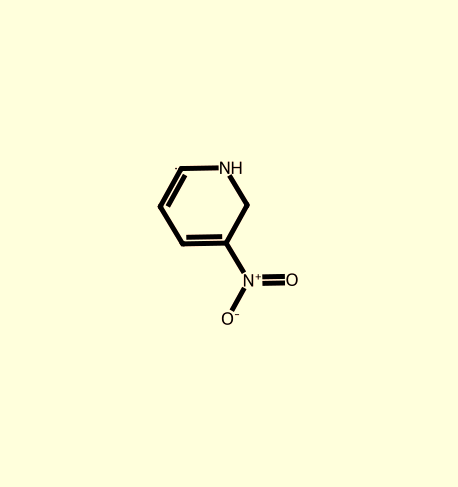 O=[N+]([O-])C1=CC=[C]NC1